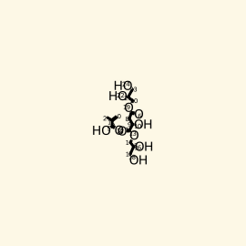 C=C(C)C(=O)O.O=C(CC(O)C(=O)OCC(O)CO)OCC(O)CO